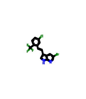 FC(F)(F)c1ccc(Cl)cc1C=Cc1c[nH]c2ncc(Br)cc12